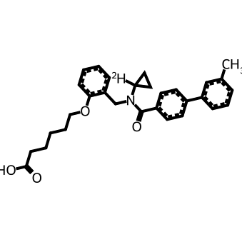 [2H]C1(N(Cc2ccccc2OCCCCCC(=O)O)C(=O)c2ccc(-c3cccc(C)c3)cc2)CC1